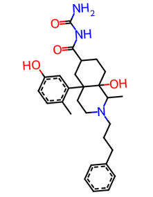 Cc1ccc(O)cc1C12CCN(CCCc3ccccc3)C(C)C1(O)CCC(C(=O)NC(N)=O)C2